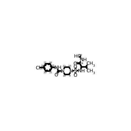 CC(C)C(NS(=O)(=O)N1CCN(C(=O)Nc2ccc(Cl)cc2)CC1)C(=O)NO